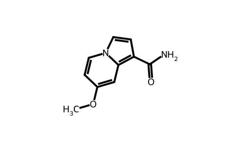 COc1ccn2ccc(C(N)=O)c2c1